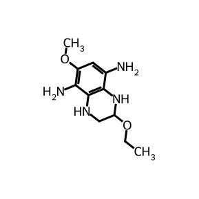 CCOC1CNc2c(N)c(OC)cc(N)c2N1